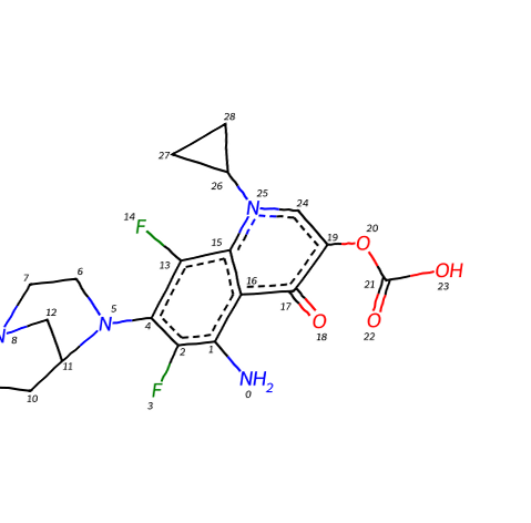 Nc1c(F)c(N2CCN3CCC2C3)c(F)c2c1c(=O)c(OC(=O)O)cn2C1CC1